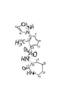 Cc1c(N2C=CON2)cccc1S(=O)(=O)N[C@@H]1CCCCNC1=O